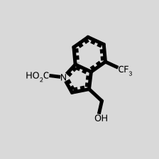 O=C(O)n1cc(CO)c2c(C(F)(F)F)cccc21